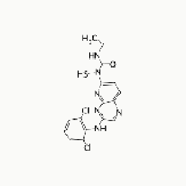 CCNC(=O)N(S)c1ccc2ncc(Nc3c(Cl)cccc3Cl)nc2n1